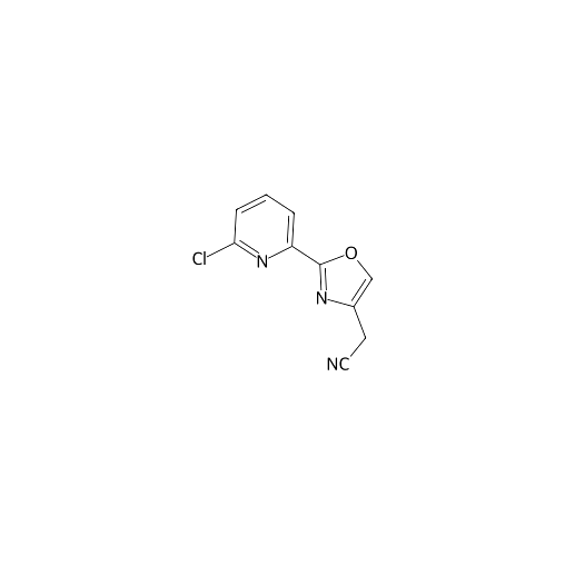 N#CCc1coc(-c2cccc(Cl)n2)n1